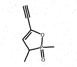 C#CC1=CC(C)P(C)(=O)O1